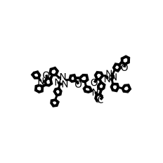 c1ccc(-c2ccc(-c3nc(-c4ccc5c(c4)oc4c(-c6cccc(-n7c8ccccc8c8ccc9c(oc%10cccc(-c%11nc(-c%12cccc(-c%13ccccc%13)c%12)nc(-c%12ccc%13c(c%12)oc%12ccccc%12%13)n%11)c%109)c87)c6)cccc45)nc(-c4cccc5oc6c(ccc7c8ccccc8n(-c8ccccc8)c76)c45)n3)cc2)cc1